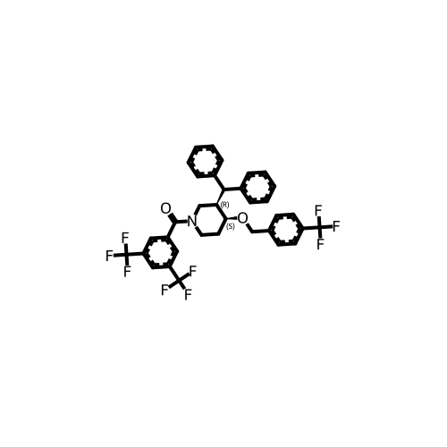 O=C(c1cc(C(F)(F)F)cc(C(F)(F)F)c1)N1CC[C@H](OCc2ccc(C(F)(F)F)cc2)[C@H](C(c2ccccc2)c2ccccc2)C1